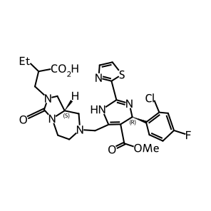 CCC(CN1C[C@@H]2CN(CC3=C(C(=O)OC)[C@H](c4ccc(F)cc4Cl)N=C(c4nccs4)N3)CCN2C1=O)C(=O)O